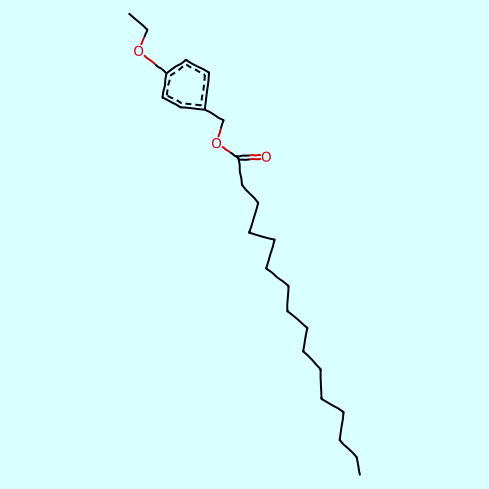 CCCCCCCCCCCCCCCC(=O)OCc1ccc(OCC)cc1